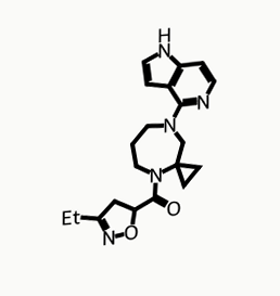 CCC1=NOC(C(=O)N2CCCN(c3nccc4[nH]ccc34)CC23CC3)C1